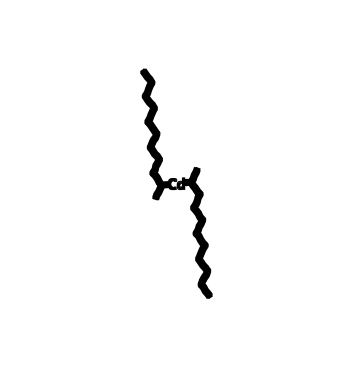 CCCCCCCCC[CH](C)[Cd][CH](C)CCCCCCCCC